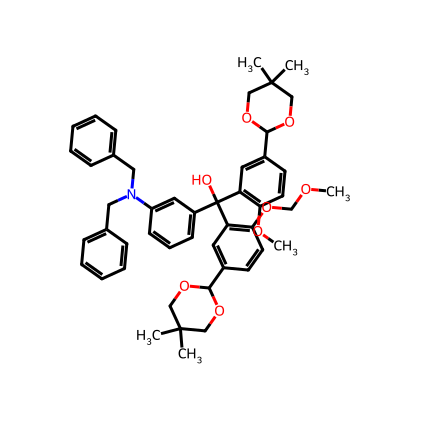 COCOc1ccc(C2OCC(C)(C)CO2)cc1C(O)(c1cccc(N(Cc2ccccc2)Cc2ccccc2)c1)c1cc(C2OCC(C)(C)CO2)ccc1OC